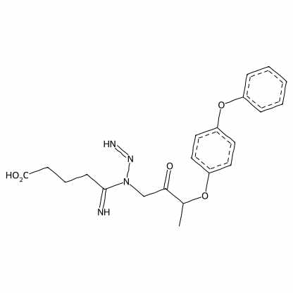 CC(Oc1ccc(Oc2ccccc2)cc1)C(=O)CN(N=N)C(=N)CCCC(=O)O